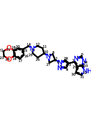 c1nc(-c2cnn([C]3CN(C4CCN(Cc5ccc6c(c5)OCCO6)CC4)C3)c2)c2cc[nH]c2n1